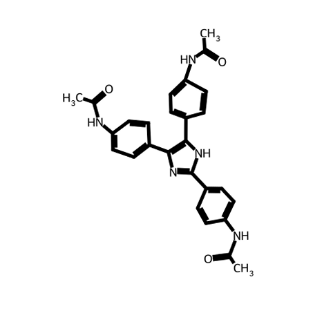 CC(=O)Nc1ccc(-c2nc(-c3ccc(NC(C)=O)cc3)c(-c3ccc(NC(C)=O)cc3)[nH]2)cc1